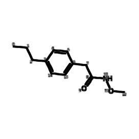 CCCc1ccc(CC(=O)NOC)cc1